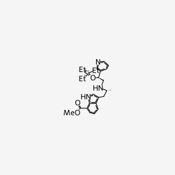 CC[Si](CC)(CC)O[C@H](CN[C@H](C)Cc1c[nH]c2c(C(=O)OC)cccc12)c1cccnc1